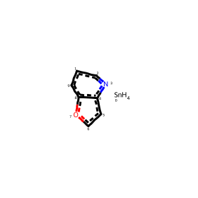 [SnH4].c1cnc2ccoc2c1